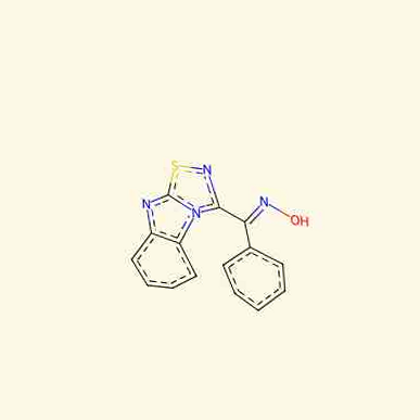 O/N=C(\c1ccccc1)c1nsc2nc3ccccc3n12